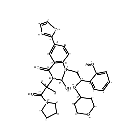 COc1ccccc1[C@H](CN1c2ccc(-c3ncco3)cc2C(=O)N(C(C)(C)C(=O)N2CCCC2)C1O)OC1CCOCC1